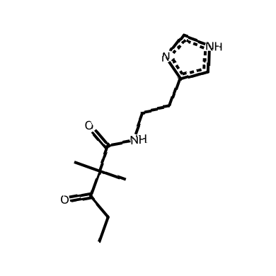 CCC(=O)C(C)(C)C(=O)NCCc1c[nH]cn1